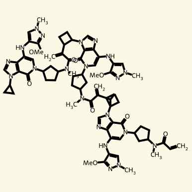 C=CC(=O)N(C)C1CCC(n2cc(Nc3cn(C)nc3OC)c3ncn(C45CC(C4)C5C(=C)C(=O)N(C)C4CCC(n5cc(Nc6cn(C)nc6OC)c6ncn(C7CCC7C(=C)C(=O)N(C)C7CCC(n8cc(Nc9cn(C)nc9OC)c9ncn(C%10CC%10)c9c8=O)C7)c6c5=O)C4)c3c2=O)C1